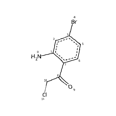 Nc1cc(Br)ccc1C(=O)CCl